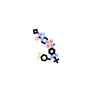 CN(c1ccc2c(c1)nc(C(C)(C)C)n2CC1CCC(F)(F)CC1)S(=O)(=O)N1CCN(C(=O)NC2CCC2)CC1